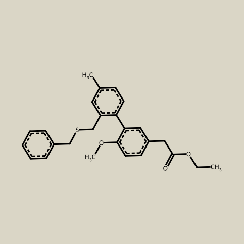 CCOC(=O)Cc1ccc(OC)c(-c2ccc(C)cc2CSCc2ccccc2)c1